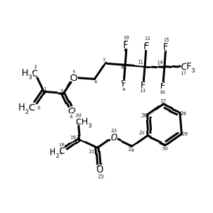 C=C(C)C(=O)OCCC(F)(F)C(F)(F)C(F)(F)C(F)(F)F.C=C(C)C(=O)OCc1ccccc1